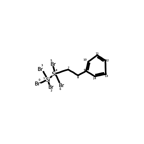 Br[Si](Br)(Br)[Si](Br)(Br)CCc1ccccc1